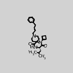 CC(C)C[C@@H]1NC(=O)C2(CCN(CCCCc3ccccc3)CC2)N(C2CCC2)C1=O